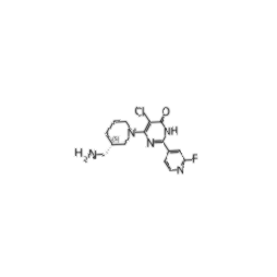 NC[C@@H]1CCCN(c2nc(-c3ccnc(F)c3)[nH]c(=O)c2Cl)C1